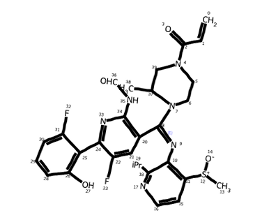 C=CC(=O)N1CCN(/C(=N/c2c([S+](C)[O-])ccnc2C(C)C)c2cc(F)c(-c3c(O)cccc3F)nc2NC=O)C(C)C1